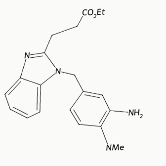 CCOC(=O)CCc1nc2ccccc2n1Cc1ccc(NC)c(N)c1